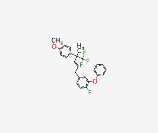 COc1ccc(C(C)(C=CCc2ccc(F)c(Oc3ccccc3)c2)C(F)(F)F)cc1